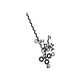 CCCCCCCCCCCCCCCC(=O)NCCC[C@@H]1O[C@H](COC(c2ccccc2)(c2ccc(OC)cc2)c2ccc(OC)cc2)[C@@H](OP(OCCC#N)N(C(C)C)C(C)C)[C@H]1OC